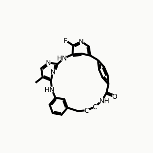 Cc1cnc2nc1Nc1cccc(c1)CCCNC(=O)c1ccc(cc1)-c1cnc(F)c(c1)N2